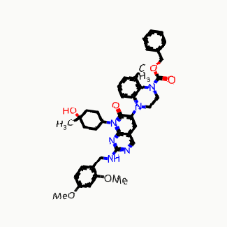 COc1ccc(CNc2ncc3cc(N4CCN(C(=O)OCc5ccccc5)c5c(C)cccc54)c(=O)n(C4CCC(C)(O)CC4)c3n2)c(OC)c1